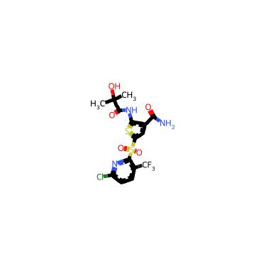 CC(C)(O)C(=O)Nc1sc(S(=O)(=O)c2nc(Cl)ccc2C(F)(F)F)cc1C(N)=O